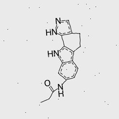 CCC(=O)Nc1ccc2c3c([nH]c2c1)-c1[nH]ncc1CC3